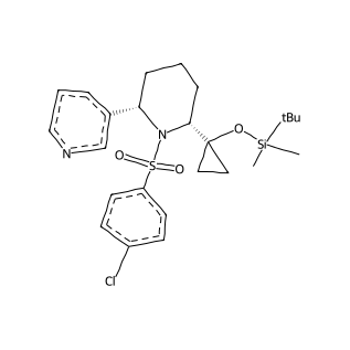 CC(C)(C)[Si](C)(C)OC1([C@H]2CCC[C@@H](c3cccnc3)N2S(=O)(=O)c2ccc(Cl)cc2)CC1